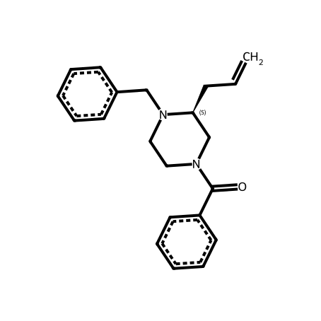 C=CC[C@H]1CN(C(=O)c2ccccc2)CCN1Cc1ccccc1